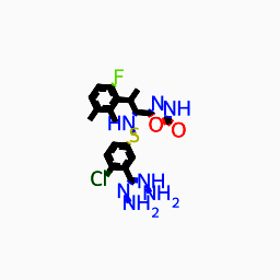 Cc1ccc(F)c(C(C)C(NSc2ccc(Cl)c(/C(=N/N)NN)c2)c2n[nH]c(=O)o2)c1C